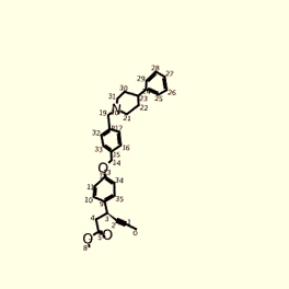 CC#C[C@@H](CC(=O)OC)c1ccc(OCc2ccc(CN3CCC(c4ccccc4)CC3)cc2)cc1